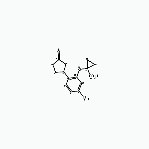 Cc1ccc(C2CCC(=O)C2)c(OC2(C(=O)O)CC2)c1